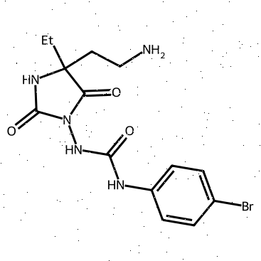 CCC1(CCN)NC(=O)N(NC(=O)Nc2ccc(Br)cc2)C1=O